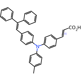 Cc1ccc(N(c2ccc(C=C(c3ccccc3)c3ccccc3)cc2)c2ccc(/C=C/C(=O)O)cc2)cc1